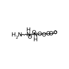 NCCCCCNC(=O)CCC(=O)NCCOCCOCCOCOCc1ccccc1